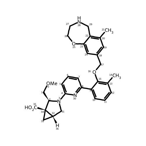 COC[C@H]1N(c2cccc(-c3cccc(C)c3OCc3cc(C)c4c(c3)OCCNC4)n2)C[C@@H]2C[C@@]21C(=O)O